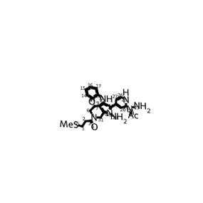 CSCCC(=O)N1CC(=O)c2c(Nc3ccccc3)c(C3=CC(N(N)C(C)=O)NC=C3)n(N)c2C1